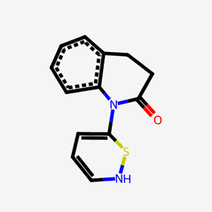 O=C1CCc2ccccc2N1C1=CC=CNS1